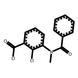 CN(C(=O)c1ccccc1)c1cccc(C(=O)Cl)c1Cl